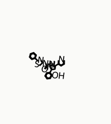 O=C(NC1CSC(c2ccccc2)=N1)N1N=C(c2cccnc2)CC1c1ccccc1O